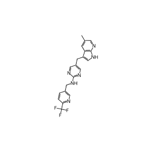 Cc1cnc2[nH]cc(Cc3cnc(NCc4ccc(C(F)(F)F)nc4)nc3)c2c1